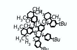 CC(C)(C)c1ccc(N2c3cc(N4c5ccc(C(C)(C)C)cc5C5(C)CCCCC45C)cc4c3B(c3cc5c(cc3N4c3ccc4c(c3)C(C)(C)CCC4(C)C)C(C)(C)CCC5(C)C)c3sc4ccc(C(C)(C)C)cc4c32)cc1